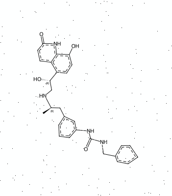 C[C@H](Cc1cccc(NC(=O)NCc2ccccc2)c1)NC[C@H](O)c1ccc(O)c2[nH]c(=O)ccc12